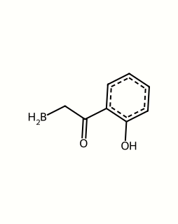 BCC(=O)c1ccccc1O